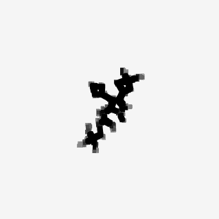 Cn1nc(C2CC(F)(F)C2)c(C2CCC2)c1NC(=O)OCC(F)(F)F